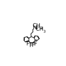 CN(C)CCCC1c2ccccc2C(F)(F)C(F)(F)c2ccccc21